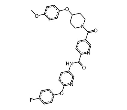 COc1ccc(OC2CCN(C(=O)c3ccc(C(=O)Nc4ccc(Oc5ccc(F)cc5)nc4)nc3)CC2)cc1